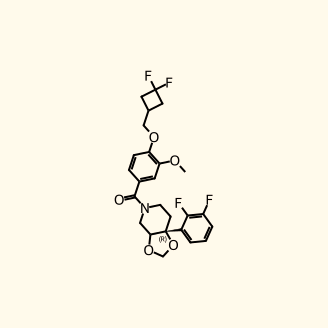 COc1cc(C(=O)N2CC[C@]3(c4cccc(F)c4F)OCOC3C2)ccc1OCC1CC(F)(F)C1